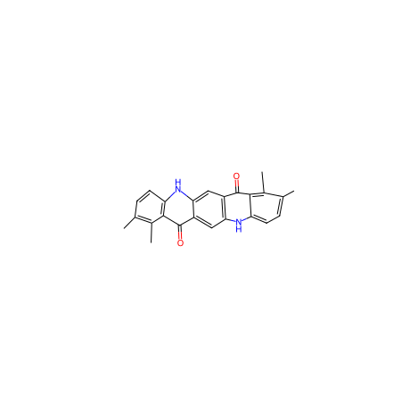 Cc1ccc2[nH]c3cc4c(=O)c5c(C)c(C)ccc5[nH]c4cc3c(=O)c2c1C